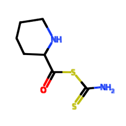 NC(=S)SC(=O)C1CCCCN1